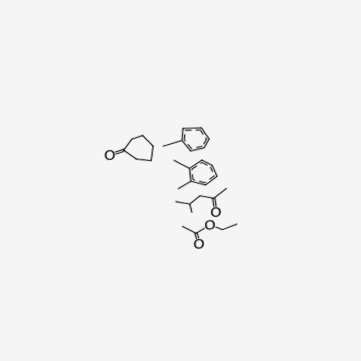 CC(=O)CC(C)C.CCOC(C)=O.Cc1ccccc1.Cc1ccccc1C.O=C1CCCCC1